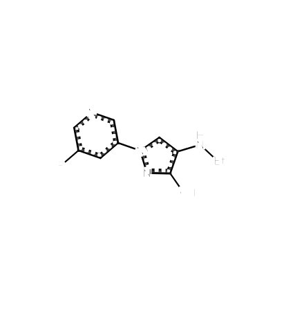 CCNc1cn(-c2cncc(F)c2)nc1C